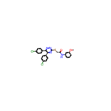 COc1cccc(NC(=O)CSc2nnc(-c3ccc(Cl)cc3)c(-c3ccc(Cl)cc3)n2)c1